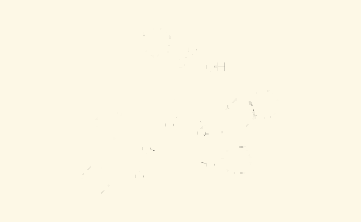 CO[C@H]1O[C@H](COCc2ccccc2)[C@@H](OCc2ccccc2)[C@H](O[C@H]2O[C@H](C(O)S(=O)(=O)c3ccccc3C)[C@H](OCc3ccccc3)[C@H]2OCc2ccccc2)[C@@H]1OCc1ccccc1